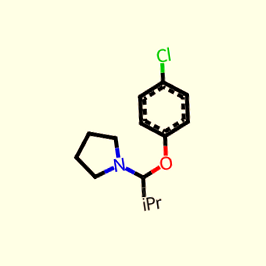 CC(C)C(Oc1ccc(Cl)cc1)N1CCCC1